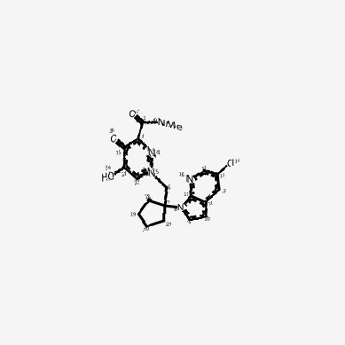 CNC(=O)c1nn(CC2(n3ccc4cc(Cl)cnc43)CCCC2)cc(O)c1=O